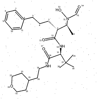 C[C@@H]([C@@H](CCCc1ccccc1)C(=O)N[C@H](C(=O)NCCC1CCOCC1)C(C)(C)C)N(O)C=O